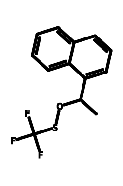 CC(OSC(F)(F)F)c1cccc2ccccc12